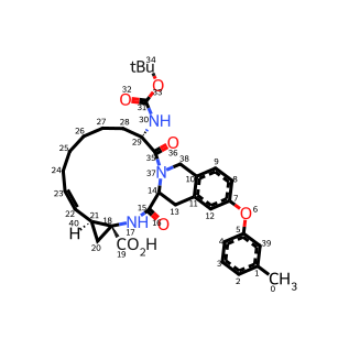 Cc1cccc(Oc2ccc3c(c2)CC2C(=O)N[C@]4(C(=O)O)C[C@H]4/C=C\CCCCC[C@H](NC(=O)OC(C)(C)C)C(=O)N2C3)c1